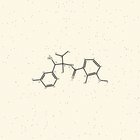 COc1cccc(C(=O)NC(C)(C(C)C)C(O)c2cccc(C)c2)c1C